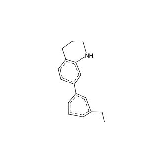 CCc1cccc(-c2ccc3c(c2)NCCC3)c1